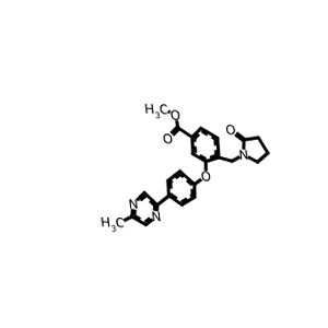 COC(=O)c1ccc(CN2CCCC2=O)c(Oc2ccc(-c3cnc(C)cn3)cc2)c1